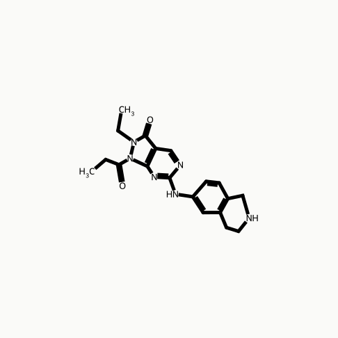 CCC(=O)n1c2nc(Nc3ccc4c(c3)CCNC4)ncc2c(=O)n1CC